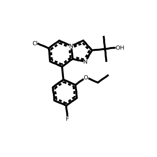 CCOc1cc(F)ccc1-c1cc(Cl)cn2cc(C(C)(C)O)nc12